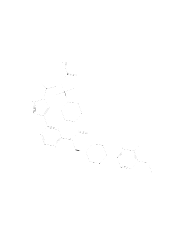 COc1ccc([C@H]2CC[C@H](CN(c3cc(-c4cnn(C(C)C)c4)ccn3)C(=O)[C@H]3CC[C@H](C(C)(C)OC(N)=O)CC3)CC2)nc1C